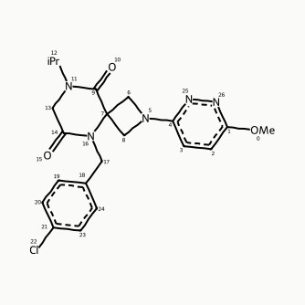 COc1ccc(N2CC3(C2)C(=O)N(C(C)C)CC(=O)N3Cc2ccc(Cl)cc2)nn1